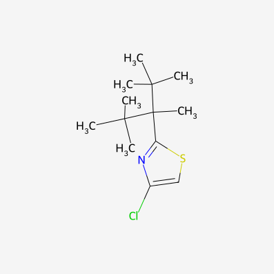 CC(C)(C)C(C)(c1nc(Cl)cs1)C(C)(C)C